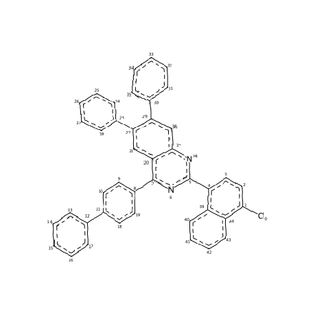 Clc1ccc(-c2nc(-c3ccc(-c4ccccc4)cc3)c3cc(-c4ccccc4)c(-c4ccccc4)cc3n2)c2ccccc12